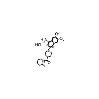 COc1cc2nc(N3CCC(C(=O)N4CCCCC4C)CC3)nc(N)c2cc1OC.Cl